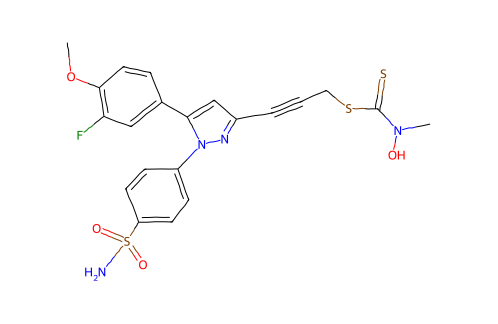 COc1ccc(-c2cc(C#CCSC(=S)N(C)O)nn2-c2ccc(S(N)(=O)=O)cc2)cc1F